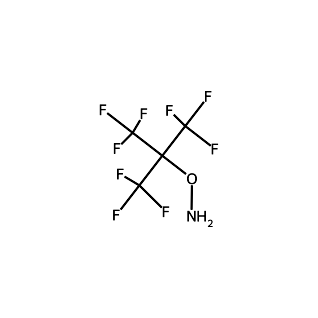 NOC(C(F)(F)F)(C(F)(F)F)C(F)(F)F